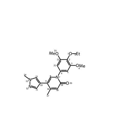 CCOc1c(OC)cc(-n2cc(-c3cnn(C)c3)c(C)cc2=O)cc1OC